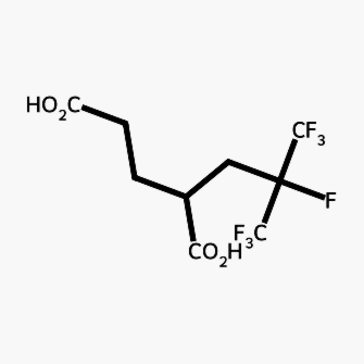 O=C(O)CCC(CC(F)(C(F)(F)F)C(F)(F)F)C(=O)O